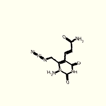 [N-]=[N+]=NCc1c(/C=C/C(N)=O)c(=O)[nH]c(=O)n1N